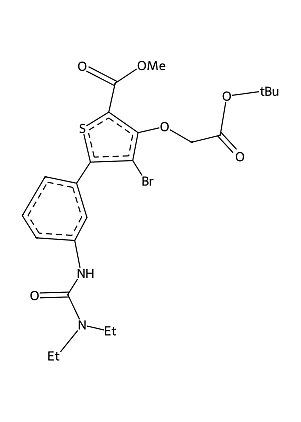 CCN(CC)C(=O)Nc1cccc(-c2sc(C(=O)OC)c(OCC(=O)OC(C)(C)C)c2Br)c1